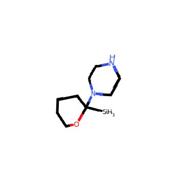 [SiH3]C1(N2CCNCC2)CCCCO1